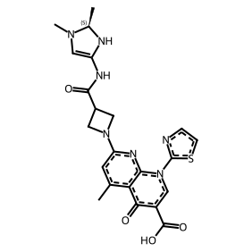 Cc1cc(N2CC(C(=O)NC3=CN(C)[C@@H](C)N3)C2)nc2c1c(=O)c(C(=O)O)cn2-c1nccs1